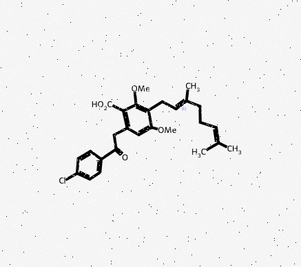 COc1cc(CC(=O)c2ccc(Cl)cc2)c(C(=O)O)c(OC)c1C/C=C(\C)CCC=C(C)C